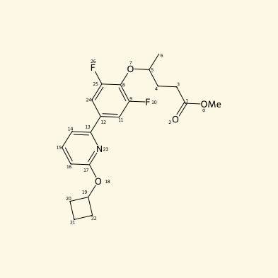 COC(=O)CCC(C)Oc1c(F)cc(-c2cccc(OC3CCC3)n2)cc1F